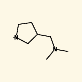 CN(C)CC1CC[N]C1